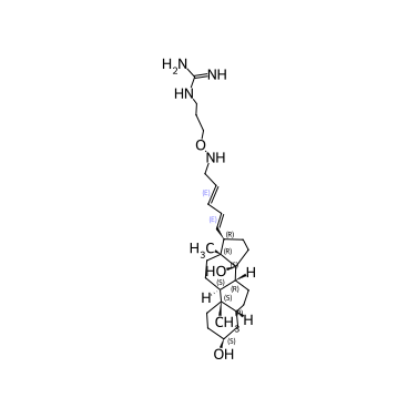 C[C@]12CC[C@H](O)C[C@H]1CC[C@@H]1[C@@H]2CC[C@]2(C)[C@@H](/C=C/C=C/CNOCCCNC(=N)N)CC[C@]12O